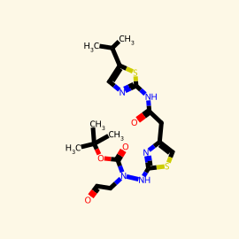 CC(C)c1cnc(NC(=O)Cc2csc(NN(CC=O)C(=O)OC(C)(C)C)n2)s1